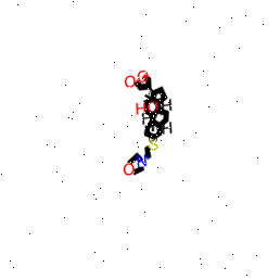 C[C@]12CC[C@H](SCCN3CCOCC3)C[C@H]1CC[C@@H]1[C@@H]2CC[C@]2(C)[C@@H](C3=CC(=O)OC3)CC[C@]12O